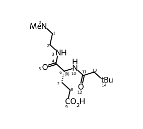 CNCCNC(=O)[C@@H](CCC(=O)O)NC(=O)CC(C)(C)C